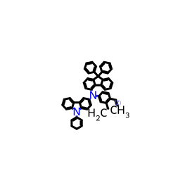 C=Cc1cc(N(c2ccc3c(c2)c2ccccc2n3C2=CCCC=C2)c2cccc3c2-c2ccccc2C3(c2ccccc2)c2ccccc2)ccc1/C=C\C